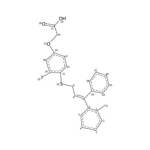 Cc1ccccc1C(=CCSc1ccc(OCC(=O)O)cc1I)c1ccccc1